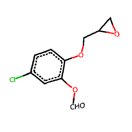 O=COc1cc(Cl)ccc1OCC1CO1